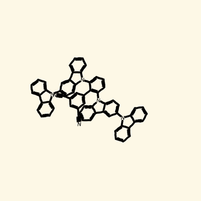 N#Cc1cc(C#N)cc(-c2c(-n3c4ccccc4c4cc(-n5c6ccccc6c6ccccc65)ccc43)cccc2-n2c3ccccc3c3cc(-n4c5ccccc5c5ccccc54)ccc32)c1